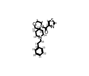 O=C(c1cscn1)N1CCOCC12CCN(CCc1ccccc1)CC2